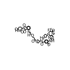 COc1cc(C(=O)NC2CCN(C(=O)CCOCCNc3cccc4c3C(=O)N(C3CCC(=O)NC3=O)C4=O)C2)c(F)cc1Nc1ncc2c(n1)N(C1CCCC1)CC(F)(F)C(=O)N2C